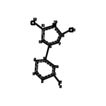 Fc1cc[c]c(-c2cc(Cl)nc(Cl)c2)c1